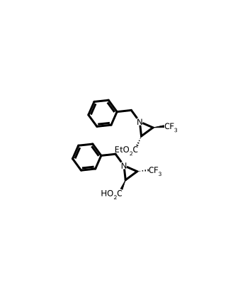 CCOC(=O)[C@H]1[C@H](C(F)(F)F)N1Cc1ccccc1.O=C(O)[C@@H]1[C@@H](C(F)(F)F)N1Cc1ccccc1